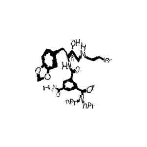 CCCN(CCC)C(=O)c1cc(C(N)=O)cc(C(=O)N[C@@H](Cc2ccc3c(c2)OCO3)[C@H](O)CNCCC(C)C)c1